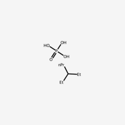 CCCC(CC)CC.O=P(O)(O)O